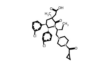 CC[C@@H](CN1CCN(C(=O)C2CC2)CC1)N1C(=O)[C@](C)(CC(=O)O)C[C@H](c2cccc(Cl)c2)[C@H]1c1ccc(Cl)cc1